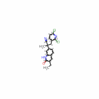 CCc1cc2ccc(C(C)(C#N)Cc3ccc(Cl)nc3Cl)cc2[nH]c1=O